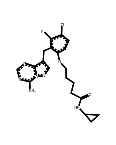 Nc1ncnc2c(Cc3c(OCCCCC(=O)NC4CC4)ccc(Cl)c3Cl)cnn12